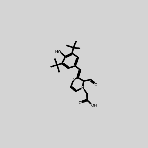 CC(C)(C)c1cc(C=C2SC=CN(CC(=O)O)C2C=O)cc(C(C)(C)C)c1O